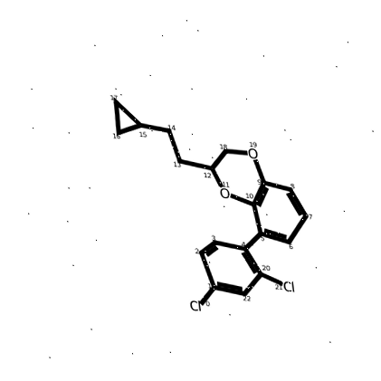 Clc1ccc(-c2cccc3c2OC(CCC2CC2)CO3)c(Cl)c1